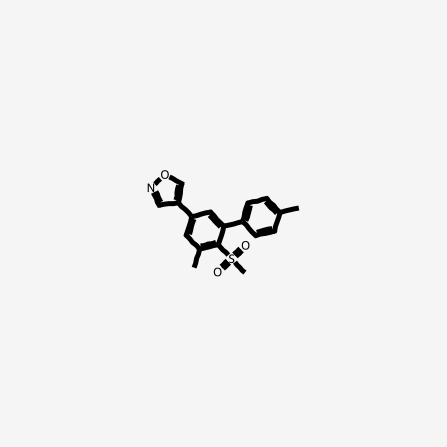 Cc1ccc(-c2cc(-c3cnoc3)cc(C)c2S(C)(=O)=O)cc1